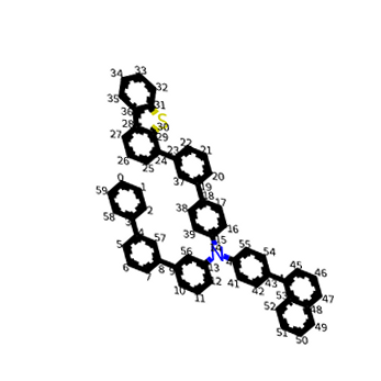 c1ccc(-c2cccc(-c3cccc(N(c4ccc(-c5cccc(-c6cccc7c6sc6ccccc67)c5)cc4)c4ccc(-c5cccc6ccccc56)cc4)c3)c2)cc1